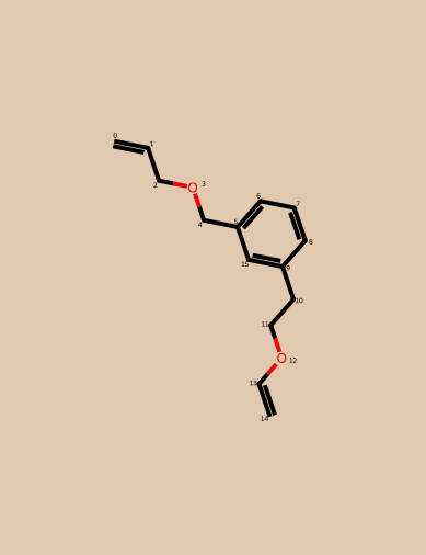 C=CCOCc1cccc(CCOC=C)c1